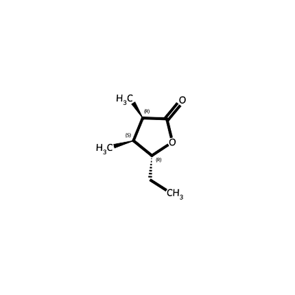 CC[C@H]1OC(=O)[C@H](C)[C@@H]1C